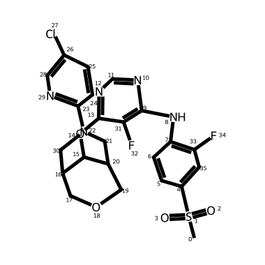 CS(=O)(=O)c1ccc(Nc2ncnc(OC3C4COCC3CN(c3ccc(Cl)cn3)C4)c2F)c(F)c1